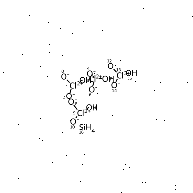 [O-][Cl+2]([O-])O.[O-][Cl+2]([O-])O.[O-][Cl+2]([O-])O.[O-][Cl+2]([O-])O.[SiH4]